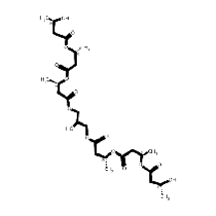 C[C@H](CC(=O)OCC(O)COC(=O)C[C@@H](C)OC(=O)C[C@@H](C)OC(=O)C[C@@H](C)O)OC(=O)C[C@@H](C)OC(=O)C[C@@H](C)O